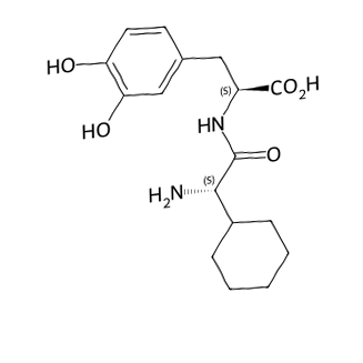 N[C@H](C(=O)N[C@@H](Cc1ccc(O)c(O)c1)C(=O)O)C1CCCCC1